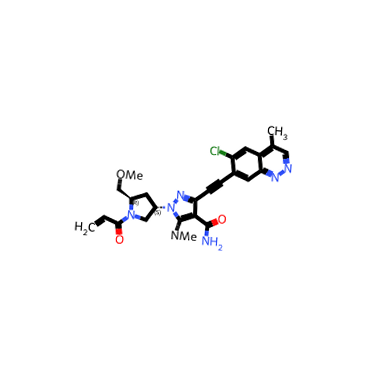 C=CC(=O)N1C[C@@H](n2nc(C#Cc3cc4nncc(C)c4cc3Cl)c(C(N)=O)c2NC)C[C@@H]1COC